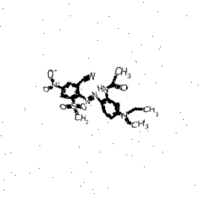 CCN(CC)c1ccc(N=Nc2c(C#N)cc([N+](=O)[O-])cc2S(C)(=O)=O)c(NC(C)=O)c1